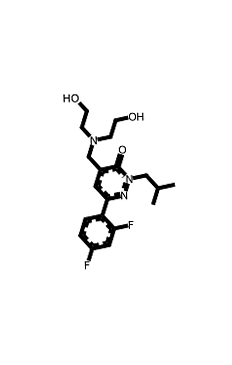 CC(C)Cn1nc(-c2ccc(F)cc2F)cc(CN(CCO)CCO)c1=O